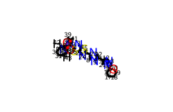 CN(c1nc2sc(-c3cnc(-c4cnn(C5CCCCO5)c4)cn3)nc2s1)[C@@H]1C[C@H]2CC[C@@H](C1)N2C(=O)OC(C)(C)C